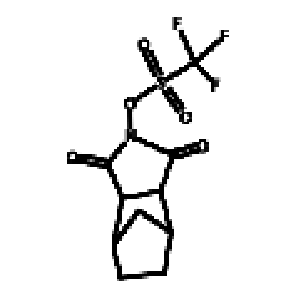 O=C1C2C3CCC(C3)C2C(=O)N1OS(=O)(=O)C(F)(F)F